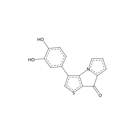 O=C1c2scc(-c3ccc(O)c(O)c3)c2-n2cccc21